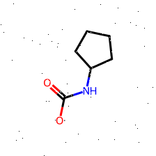 [O]C(=O)NC1CCCC1